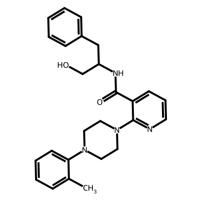 Cc1ccccc1N1CCN(c2ncccc2C(=O)NC(CO)Cc2ccccc2)CC1